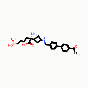 CC(=O)c1ccc(-c2ccc(CNC3CC([C@](N)(CCCCB(O)O)C(=O)O)C3)cc2)cc1